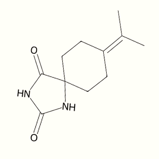 CC(C)=C1CCC2(CC1)NC(=O)NC2=O